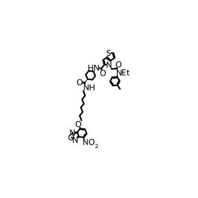 CCN(C(=O)Cn1c(C(=O)N[C@H]2CC[C@H](C(=O)NCCCCCCCCOc3ccc([N+](=O)[O-])c4nonc34)CC2)cc2sccc21)c1cccc(C)c1